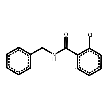 O=C(NCc1ccccc1)c1[c]cccc1Cl